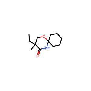 CCC1(C)COC2(CCCCC2)NC1=O